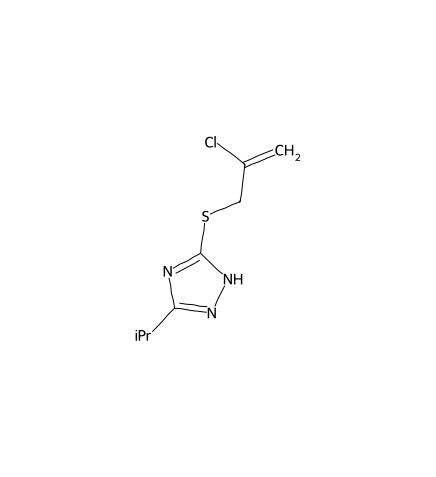 C=C(Cl)CSc1nc(C(C)C)n[nH]1